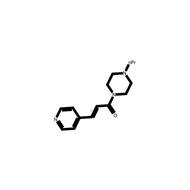 CCCN1CCN(C(=O)/C=C/c2ccncc2)CC1